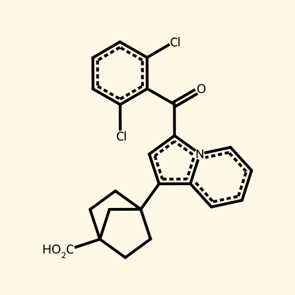 O=C(c1c(Cl)cccc1Cl)c1cc(C23CCC(C(=O)O)(CC2)C3)c2ccccn12